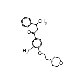 Cc1cc(C(=O)CC(C)c2ccccc2)ccc1OCCN1CCOCC1